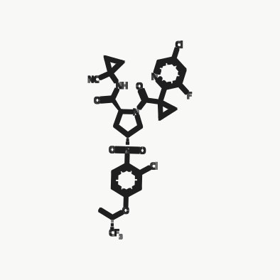 C[C@H](Oc1ccc(S(=O)(=O)[C@@H]2C[C@@H](C(=O)NC3(C#N)CC3)N(C(=O)C3(c4ncc(Cl)cc4F)CC3)C2)c(Cl)c1)C(F)(F)F